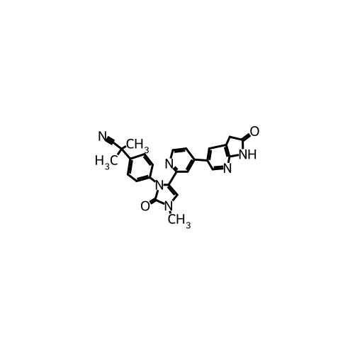 Cn1cc(-c2cc(-c3cnc4c(c3)CC(=O)N4)ccn2)n(-c2ccc(C(C)(C)C#N)cc2)c1=O